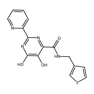 O=C(NCc1ccsc1)c1nc(-c2ccccn2)nc(O)c1O